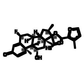 Cc1ccoc1C(=O)O[C@]1(C(=O)S)[C@H](C)C[C@H]2[C@@H]3C[C@H](F)C4=CC(=O)C=C[C@]4(C)[C@@]3(F)[C@@H](O)C[C@@]21C